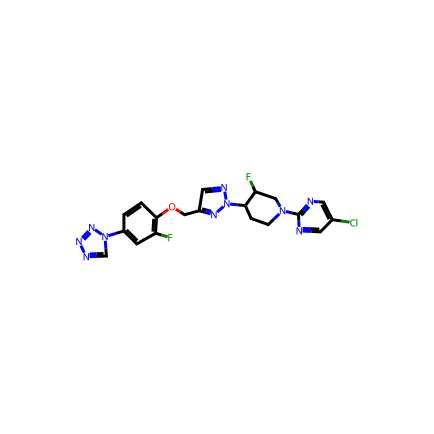 Fc1cc(-n2cnnn2)ccc1OCc1cnn(C2CCN(c3ncc(Cl)cn3)CC2F)n1